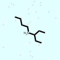 CCCC[SiH2]C(CC)CC